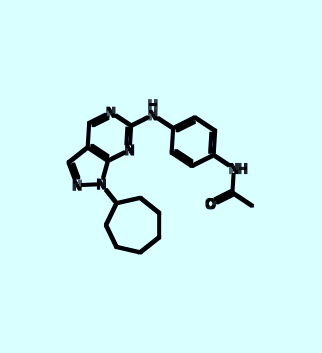 CC(=O)Nc1ccc(Nc2ncc3cnn(C4CCCCCC4)c3n2)cc1